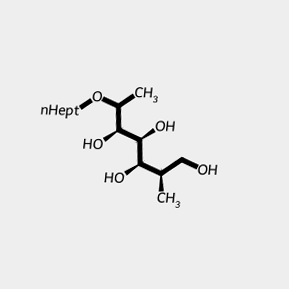 CCCCCCCOC(C)[C@H](O)[C@@H](O)[C@H](O)[C@H](C)CO